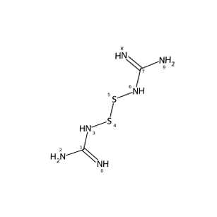 N=C(N)NSSNC(=N)N